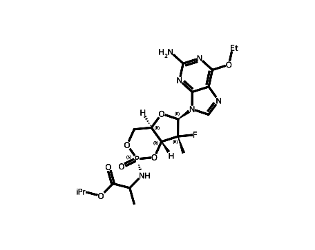 CCOc1nc(N)nc2c1ncn2[C@@H]1O[C@@H]2CO[P@@](=O)(NC(C)C(=O)OC(C)C)O[C@H]2[C@@]1(C)F